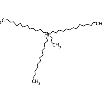 CCCCCCCCCCCCCC[PH](CCC)(CCCCCCCCCCCCCC)CCCCCCCCCCCCCC